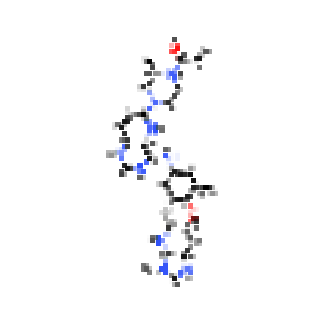 C=CC(=O)N1CCN(c2ccc3ncnc(Nc4ccc(Oc5cc6ncn(C)c6nc5C)c(C)c4)c3n2)C[C@H]1C